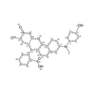 CN(c1ccc(O)cc1)c1ccc2c(ccc3c(-c4ccccc4C(=O)O)c4cc(Cl)c(=O)cc-4oc32)c1